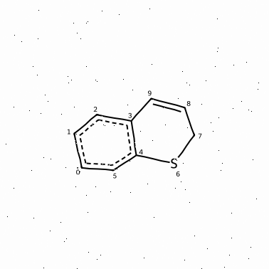 [c]1ccc2c(c1)SCC=C2